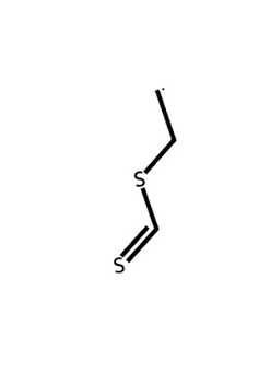 [CH2]CSC=S